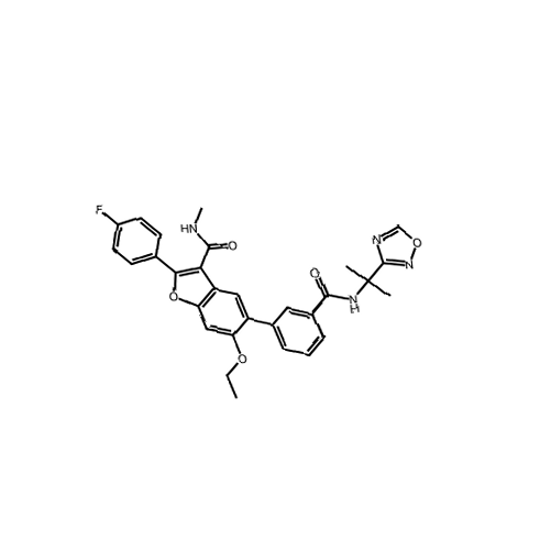 CCOc1cc2oc(-c3ccc(F)cc3)c(C(=O)NC)c2cc1-c1cccc(C(=O)NC(C)(C)c2ncon2)c1